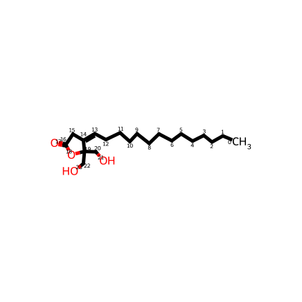 CCCCCCCCCCCCCC=C1CC(=O)OC1(CO)CO